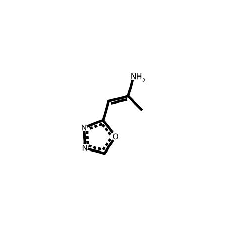 C/C(N)=C\c1nnco1